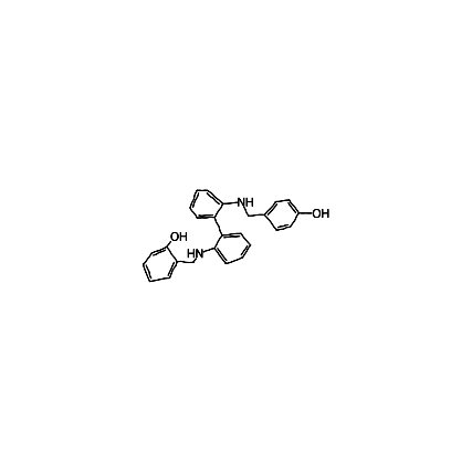 Oc1ccc(CNc2ccccc2-c2ccccc2NCc2ccccc2O)cc1